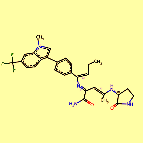 CC/C=C(/N=C(\C=C(/C)N[C@H]1CCNC1=O)C(N)=O)c1ccc(-c2cn(C)c3cc(C(F)(F)F)ccc23)cc1